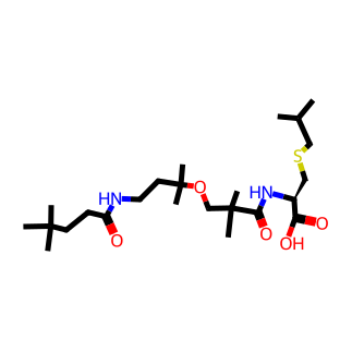 CC(C)CSC[C@H](NC(=O)C(C)(C)COC(C)(C)CCNC(=O)CCC(C)(C)C)C(=O)O